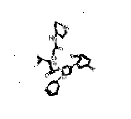 O=C(CO[C@H](C(=O)N1CC(c2cc(F)ccc2F)=C[C@H]1c1ccccc1)C1CC1)NC1CCNCC1